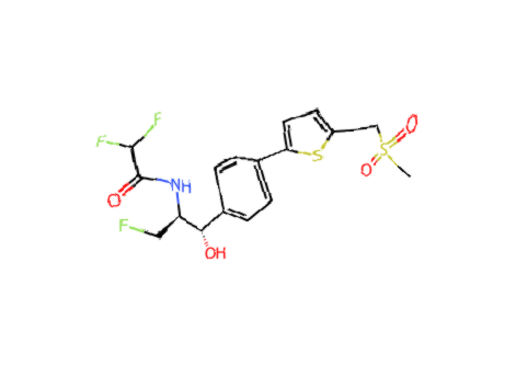 CS(=O)(=O)Cc1ccc(-c2ccc([C@H](O)[C@@H](CF)NC(=O)C(F)F)cc2)s1